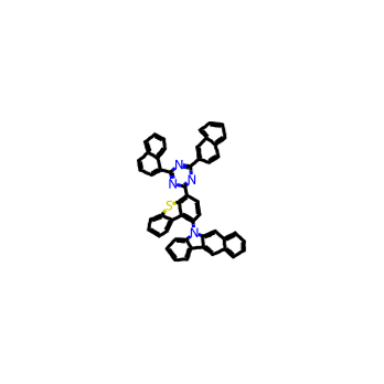 c1ccc2cc(-c3nc(-c4cccc5ccccc45)nc(-c4ccc(-n5c6ccccc6c6cc7ccccc7cc65)c5c4sc4ccccc45)n3)ccc2c1